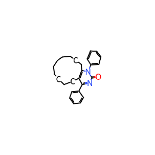 O=c1nc(-c2ccccc2)c2c(n1-c1ccccc1)CCCCCCCCCC2